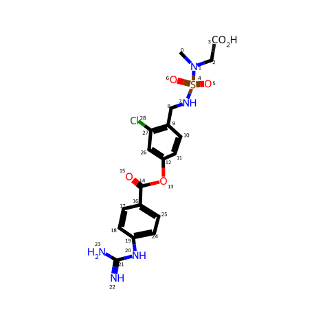 CN(CC(=O)O)S(=O)(=O)NCc1ccc(OC(=O)c2ccc(NC(=N)N)cc2)cc1Cl